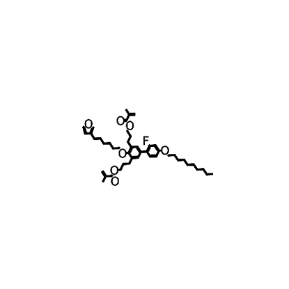 C=C(C)C(=O)OCCCc1cc(-c2ccc(OCCCCCCCCCC)cc2F)cc(CCCOC(=O)C(=C)C)c1OCCCCCCc1ccoc1